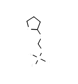 CC(C)[Si](OCOC1CCCO1)(C(C)C)C(C)C